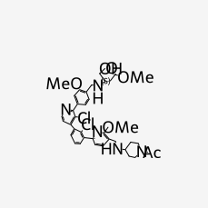 COC(=O)C[C@@H](CO)NCc1ccc(-c2nccc(-c3cccc(-c4ccc(CNC5CCN(C(C)=O)CC5)c(OC)n4)c3Cl)c2Cl)cc1OC